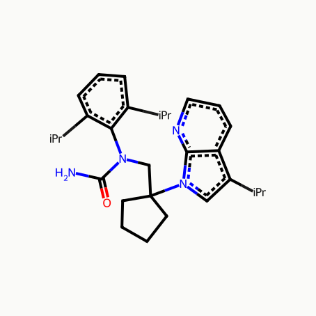 CC(C)c1cccc(C(C)C)c1N(CC1(n2cc(C(C)C)c3cccnc32)CCCC1)C(N)=O